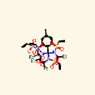 C=CS(=O)(=O)N(C(=O)CC)c1cc(C)ccc1C(N(C(=O)CC)S(=O)(=O)C=C)(N(C(=O)CC)S(=O)(=O)C=C)N(C(=O)CC)S(=O)(=O)C=C